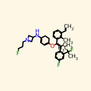 C=Cc1cccc(/C(OC2=CC=C(NC3CN(CCCF)C3)CC2)=C(\C)c2ccc(F)cc2C(C)(C)F)c1C